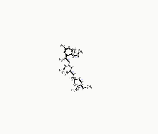 C=NN(/C=C(\N)c1cc(C(C)=O)cc(N)c1/C=N\C)C/C(N)=C/NC(=C)/C=C\C(=C/C)CN